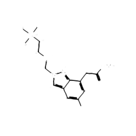 COC(=O)Cc1cc(Cl)cc2cn(COCC[Si](C)(C)C)nc12